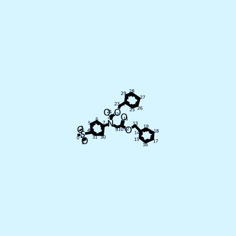 CS(=O)(=O)c1ccc(N(CC(=O)OCc2ccccc2)C(=O)OCc2ccccc2)cc1